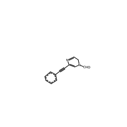 O=CN1C=C(C#Cc2ccccc2)N=CC1